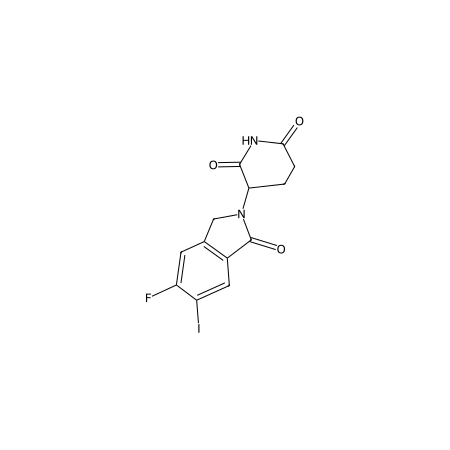 O=C1CCC(N2Cc3cc(F)c(I)cc3C2=O)C(=O)N1